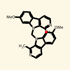 COc1ccc2c3ccnc(C)c3n(Cn3c4cc(OC)ccc4c4ccnc(C)c43)c2c1